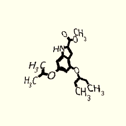 CCC(CC)Oc1cc(OC(C)C)cc2[nH]c(C(=O)OC)cc12